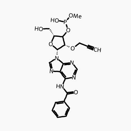 C#CCO[C@H]1C(OP(O)OC)[C@@H](CO)O[C@H]1n1cnc2c(NC(=O)c3ccccc3)ncnc21